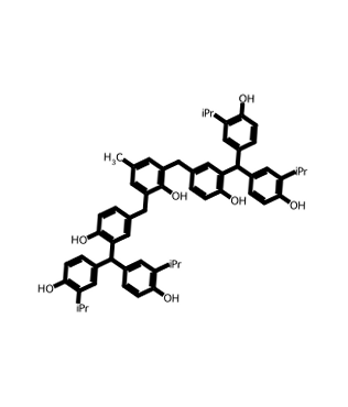 Cc1cc(Cc2ccc(O)c(C(c3ccc(O)c(C(C)C)c3)c3ccc(O)c(C(C)C)c3)c2)c(O)c(Cc2ccc(O)c(C(c3ccc(O)c(C(C)C)c3)c3ccc(O)c(C(C)C)c3)c2)c1